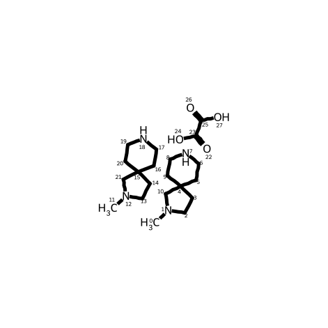 CN1CCC2(CCNCC2)C1.CN1CCC2(CCNCC2)C1.O=C(O)C(=O)O